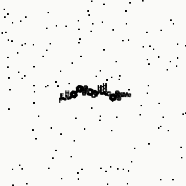 CNS(=O)(=O)c1cccc(OC[C@@H](O)CNC2COC3(CCN(S(=O)(=O)c4cccc(-c5ccc(CNCC(F)F)cc5)c4)CC3)C2)c1